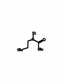 CCN(CCC(C)(C)C)C(=O)C(C)(C)C